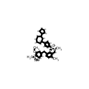 COc1cc(Cc2ccc(C)c(CN(C)S(=O)(=O)c3ccc(C4CCCCC(C5CCCC5)C4)cc3)c2)cc2nnn(C)c12